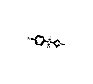 CN1CC(S(=O)(=O)c2ccc(Br)cc2)C1